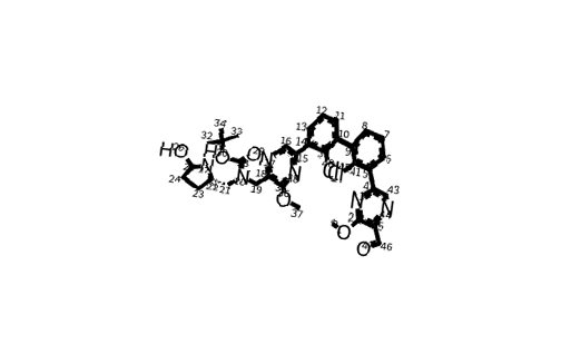 COc1nc(-c2cccc(-c3cccc(-c4cnc(CN(C[C@@H]5CCC(O)N5)C(=O)OC(C)(C)C)c(OC)n4)c3Cl)c2Cl)cnc1C=O